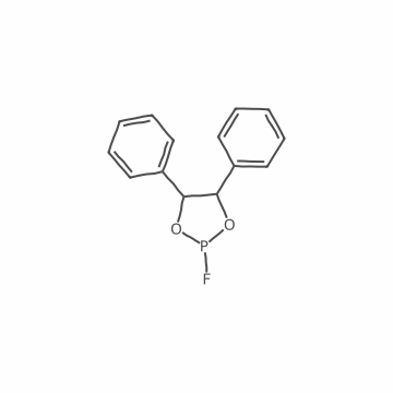 FP1OC(c2ccccc2)C(c2ccccc2)O1